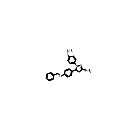 COc1ccc(N2N=C(N)CC2c2ccc(OCc3ccccc3)cc2)cc1